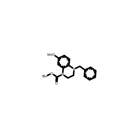 COc1ccc2c(c1)N(C(=O)OC(C)(C)C)CCN2Cc1ccccc1